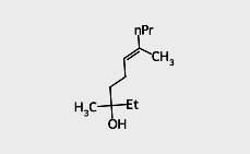 CCC/C(C)=C/CCC(C)(O)CC